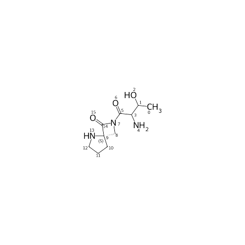 CC(O)C(N)C(=O)N1C[C@@]2(CCCN2)C1=O